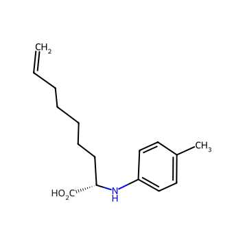 C=CCCCCC[C@H](Nc1ccc(C)cc1)C(=O)O